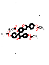 CC(=O)Oc1ccc(C2COc3cc(OC(C)=O)c(C4c5ccc(OC(C)=O)cc5OCC4c4ccc(OC(C)=O)cc4)cc3C2)cc1